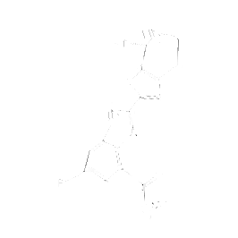 CCC1NCCc2cc(-c3nc4c(C(=O)OC)cc(F)cc4[nH]3)sc21